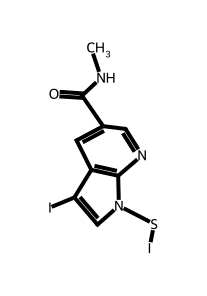 CNC(=O)c1cnc2c(c1)c(I)cn2SI